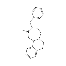 CN1CC2c3ccccc3CCC2CCC1Cc1ccccc1